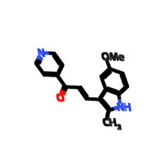 COc1ccc2[nH]c(C)c(C=CC(=O)c3ccncc3)c2c1